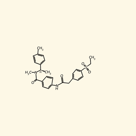 CCS(=O)(=O)c1ccc(CC(=O)Nc2ccc(C(=O)N(C)[C@H](C)c3ccc(C)cc3)cc2)cc1